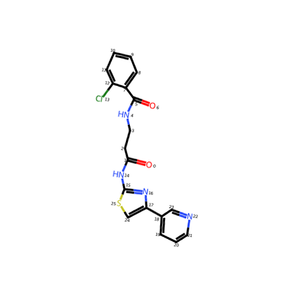 O=C(CCNC(=O)c1ccccc1Cl)Nc1nc(-c2cccnc2)cs1